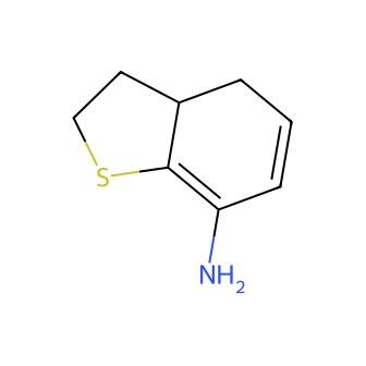 NC1=C2SCCC2CC=C1